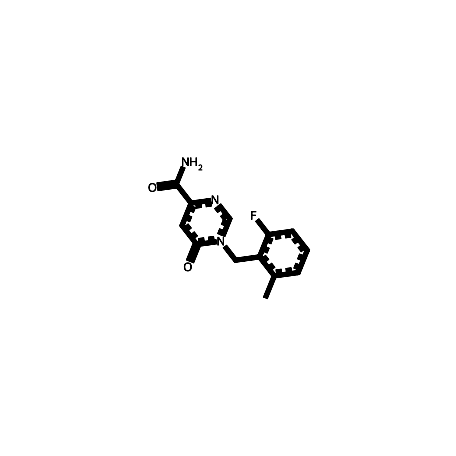 Cc1cccc(F)c1Cn1cnc(C(N)=O)cc1=O